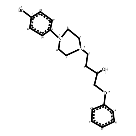 OC(CCN1CCN(c2ccc(Br)cc2)CC1)COc1ccccc1